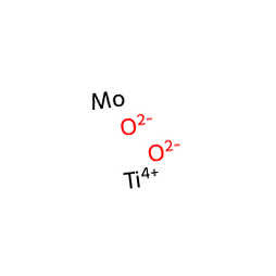 [Mo].[O-2].[O-2].[Ti+4]